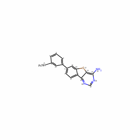 CC(=O)Nc1cccc(-c2ccc3c(c2)sc2c(N)ncnc23)c1